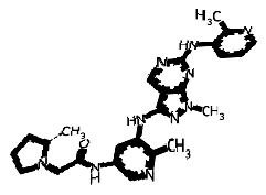 Cc1ncccc1Nc1ncc2c(Nc3cc(NC(=O)CN4CCC[C@@H]4C)cnc3C)nn(C)c2n1